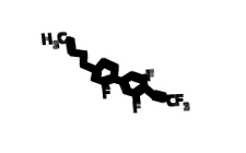 C/C=C/CCc1ccc(-c2cc(F)c(C#CC(F)(F)F)c(F)c2)c(F)c1